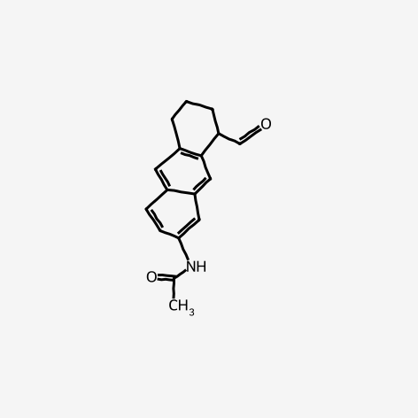 CC(=O)Nc1ccc2cc3c(cc2c1)C(C=O)CCC3